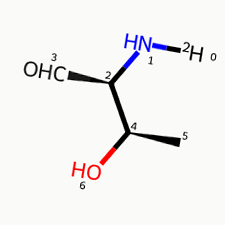 [2H]N[C@H](C=O)[C@@H](C)O